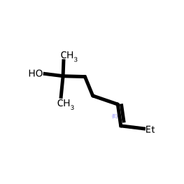 CC/C=C/CCC(C)(C)O